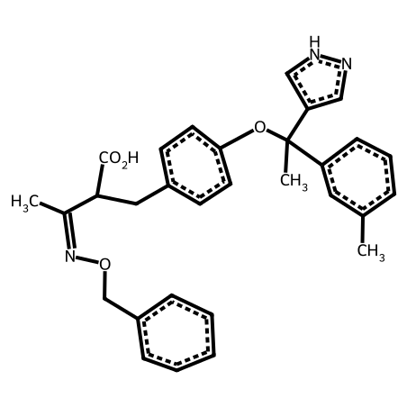 CC(=NOCc1ccccc1)C(Cc1ccc(OC(C)(c2cn[nH]c2)c2cccc(C)c2)cc1)C(=O)O